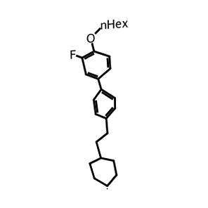 CCCCCCOc1ccc(-c2ccc(CCC3CC[CH]CC3)cc2)cc1F